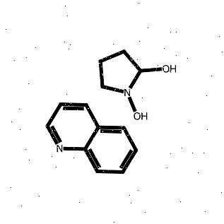 OC1CCCN1O.c1ccc2ncccc2c1